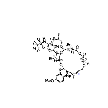 CC[C@@H]1[C@@H]2CN(C(=O)[C@H](C(C)(C)C)NC(=O)O[C@@H]3C[C@H]3OC/C=C/C(F)(F)c3nc4ccc(OC)cc4nc3O2)[C@@H]1C(=O)N[C@]1(C(=O)NS(=O)(=O)C2(C)CC2)C[C@H]1C(F)F